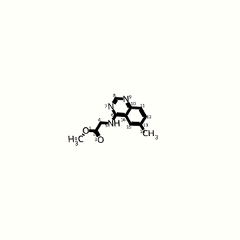 COC(=O)CNc1ncnc2ccc(C)cc12